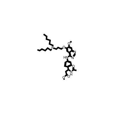 CCCCCCN(CCCCCC)CCCOc1cc2c(Nc3ccc(C(CC(=O)OC)NC(C)=O)cc3)ncnc2cc1OC